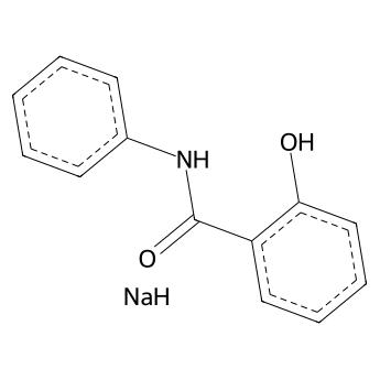 O=C(Nc1ccccc1)c1ccccc1O.[NaH]